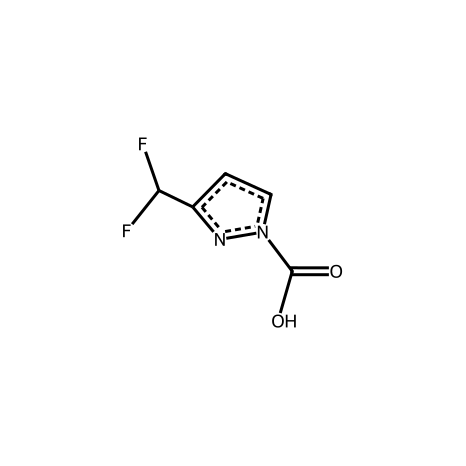 O=C(O)n1ccc(C(F)F)n1